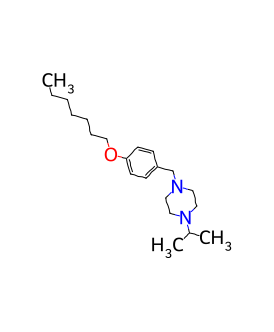 CCCCCCCOc1ccc(CN2CCN(C(C)C)CC2)cc1